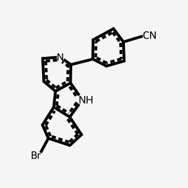 N#Cc1ccc(-c2nccc3c2[nH]c2ccc(Br)cc23)cc1